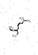 CC=C=C(CC)C/C=C\CN(C)C